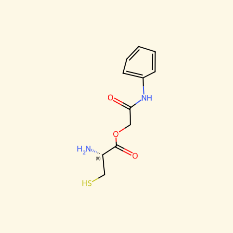 N[C@@H](CS)C(=O)OCC(=O)Nc1ccccc1